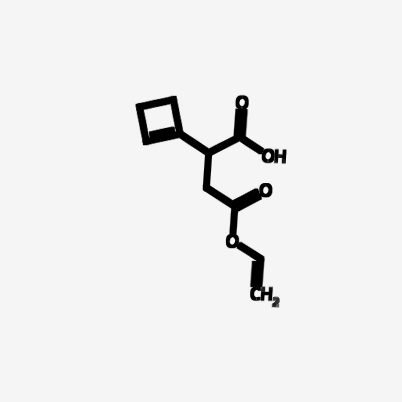 C=COC(=O)CC(C(=O)O)C1=CCC1